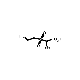 CCCC(C(=O)O)S(=O)(=O)CCC(F)(F)F